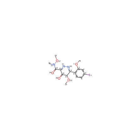 COc1cc(I)ccc1C1=NN=C(C(=O)N(C)OC)C(=O)C1OC